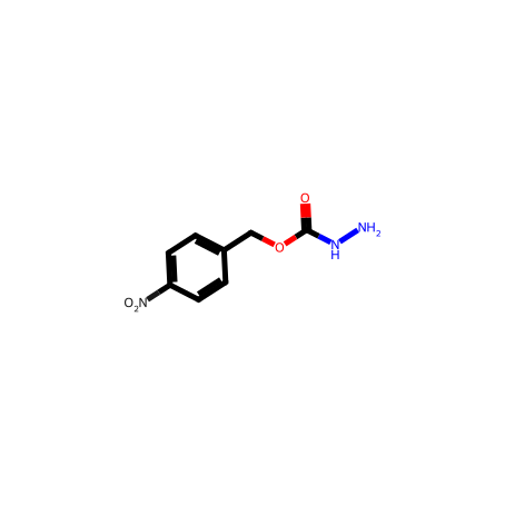 NNC(=O)OCc1ccc([N+](=O)[O-])cc1